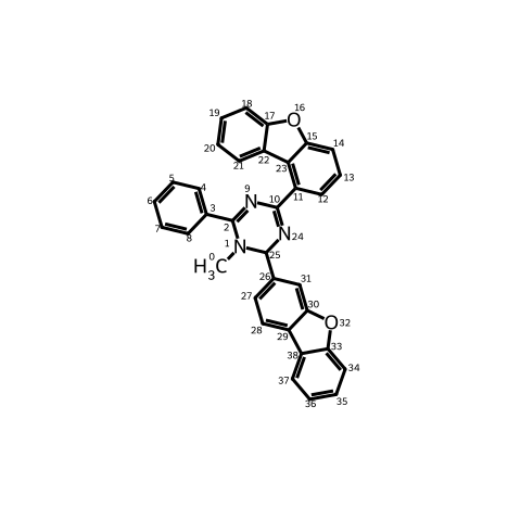 CN1C(c2ccccc2)=NC(c2cccc3oc4ccccc4c23)=NC1c1ccc2c(c1)oc1ccccc12